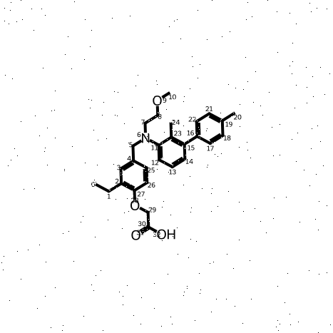 CCc1cc(CN(CCOC)c2cccc(-c3ccc(C)cc3)c2C)ccc1OCC(=O)O